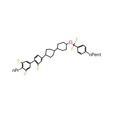 CCCCCc1ccc(C(F)(F)OC2CCC(C3CCC(c4ccc(-c5cc(F)c(CCC)c(F)c5)c(F)c4)CC3)CC2)cc1